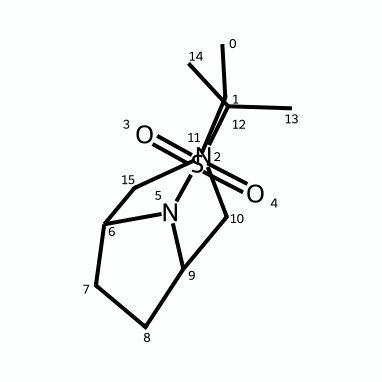 CCS(=O)(=O)N1C2CCC1CN(C(C)C)C2